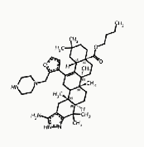 CCCCOC(=O)[C@]12CCC(C)(C)C[C@H]1C1=C(c3ccoc3CN3CCNCC3)CC3[C@@]4(C)Cc5c(n[nH]c5N)C(C)(C)[C@@H]4CC[C@@]3(C)[C@]1(C)CC2